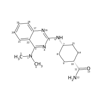 CN(C)c1nc(N[C@H]2CC[C@@H](C(N)=O)CC2)nc2ccccc12